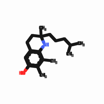 Cc1c(O)cc2c(c1C)NC(C)(CCCC(C)C)CC2